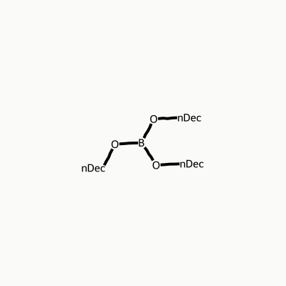 CCCCCCCCCCOB(OCCCCCCCCCC)OCCCCCCCCCC